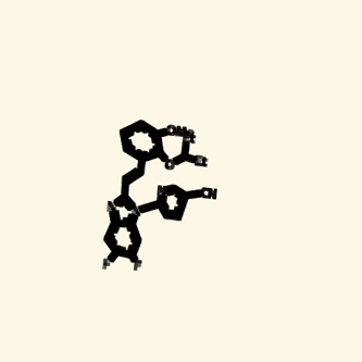 CCC(CC)Oc1c(/C=C/c2nc3cc(F)c(F)cc3n2-c2ccc(C#N)cn2)cccc1OC